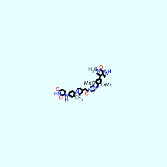 COc1cc(-c2cn(C)c(=O)c3[nH]ncc23)cc(OC)c1CN1CCN(C(=O)CC2CCN(c3ccc(NC4CCC(=O)NC4=O)cc3C(F)(F)F)CC2)CC1